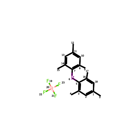 Cc1cc(C)c([I+]c2c(C)cc(C)cc2C)c(C)c1.F[B-](F)(F)F